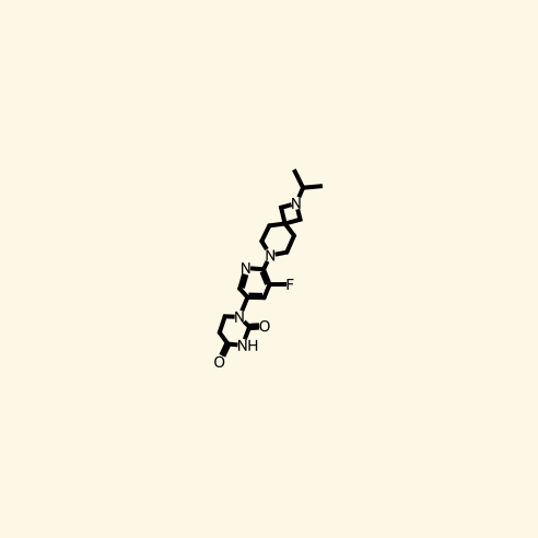 CC(C)N1CC2(CCN(c3ncc(N4CCC(=O)NC4=O)cc3F)CC2)C1